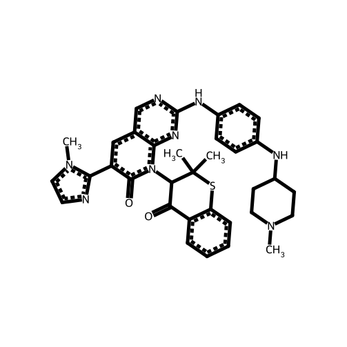 CN1CCC(Nc2ccc(Nc3ncc4cc(-c5nccn5C)c(=O)n(C5C(=O)c6ccccc6SC5(C)C)c4n3)cc2)CC1